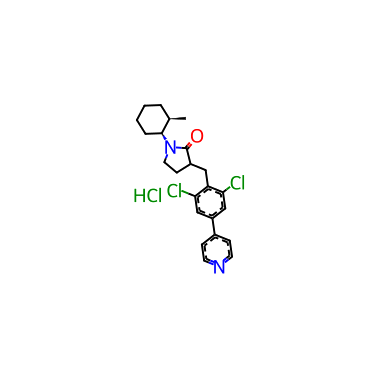 C[C@@H]1CCCC[C@@H]1N1CCC(Cc2c(Cl)cc(-c3ccncc3)cc2Cl)C1=O.Cl